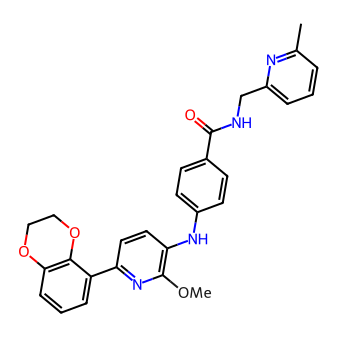 COc1nc(-c2cccc3c2OCCO3)ccc1Nc1ccc(C(=O)NCc2cccc(C)n2)cc1